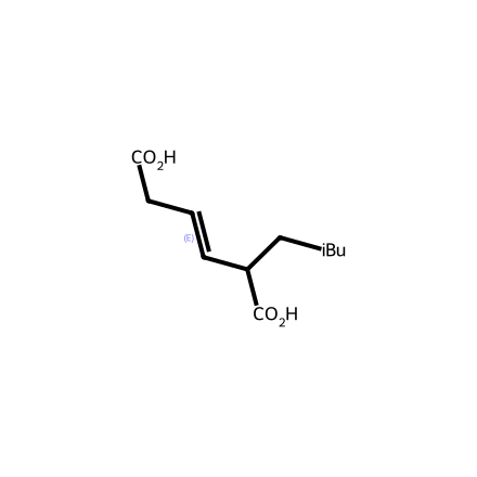 CCC(C)CC(/C=C/CC(=O)O)C(=O)O